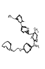 Cc1cnc(Nc2ccc(OCCN3CCCC3)cc2)nc1-c1ccc(-c2cccc(C(C)C)c2)s1